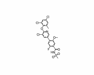 COc1cc(C(=O)NS(C)(=O)=O)c(F)cc1-c1cnc(Oc2c(C)cc(Cl)cc2Cl)c(Cl)c1